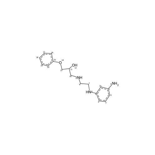 Nc1cccc(NCCNCC(O)COc2ccccc2)c1